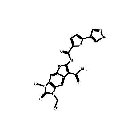 CCn1c(=O)n(CC(F)(F)F)c2cc3c(C(N)=O)c(NC(=O)c4ccc(-c5cn[nH]c5)s4)[nH]c3cc21